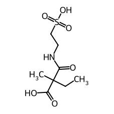 CCC(C)(C(=O)O)C(=O)NCCS(=O)(=O)O